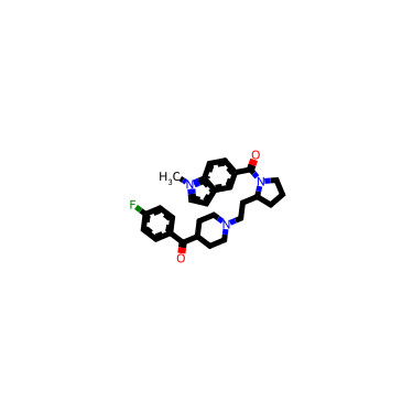 Cn1ccc2cc(C(=O)N3CCCC3CCN3CCC(C(=O)c4ccc(F)cc4)CC3)ccc21